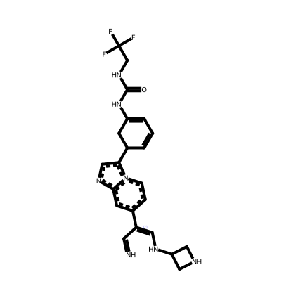 N=C/C(=C\NC1CNC1)c1ccn2c(C3C=CC=C(NC(=O)NCC(F)(F)F)C3)cnc2c1